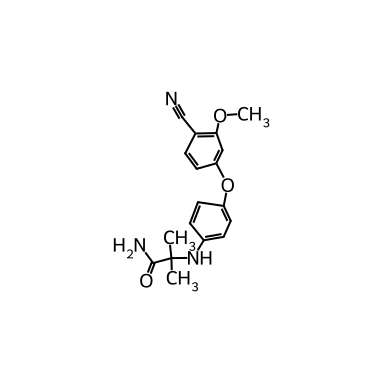 COc1cc(Oc2ccc(NC(C)(C)C(N)=O)cc2)ccc1C#N